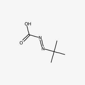 CC(C)(C)N=NC(=O)O